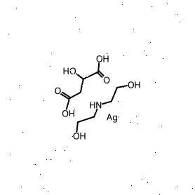 O=C(O)CC(O)C(=O)O.OCCNCCO.[Ag]